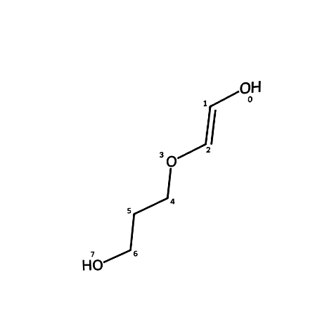 OC=COCCCO